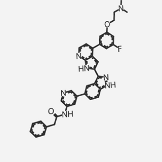 CN(C)CCOc1cc(F)cc(-c2ccnc3[nH]c(-c4n[nH]c5ccc(-c6cncc(NC(=O)Cc7ccccc7)c6)cc45)cc23)c1